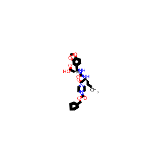 CCCC[C@H](NC(=O)N[C@@H](CC(=O)O)c1ccc2c(c1)OCO2)C(=O)N1CCN(C(=O)OCc2ccccc2)CC1